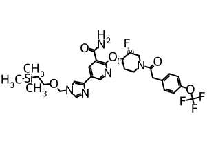 C[Si](C)(C)CCOCn1cnc(-c2cnc(O[C@H]3CCN(C(=O)Cc4ccc(OC(F)(F)F)cc4)C[C@H]3F)c(C(N)=O)c2)c1